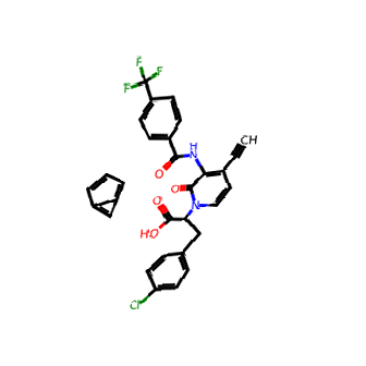 C#Cc1ccn(C(Cc2ccc(Cl)cc2)C(=O)O)c(=O)c1NC(=O)c1ccc(C(F)(F)F)cc1.c1cc2cc-2c1